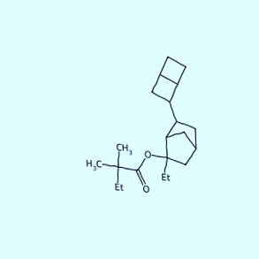 CCC(C)(C)C(=O)OC1(CC)CC2CC(C3CC4CCC43)C1C2